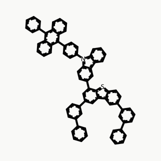 c1ccc(-c2cccc(-c3ccc4sc5c(-c6ccc7c(c6)c6ccccc6n7-c6ccc(-c7c8ccccc8c(-c8ccccc8)c8ccccc78)cc6)cc(-c6cccc(-c7ccccc7)c6)cc5c4c3)c2)cc1